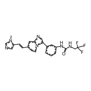 Cn1cncc1C=Cc1ccn2c(-c3cccc(NC(=O)NCC(F)(F)F)c3)cnc2c1